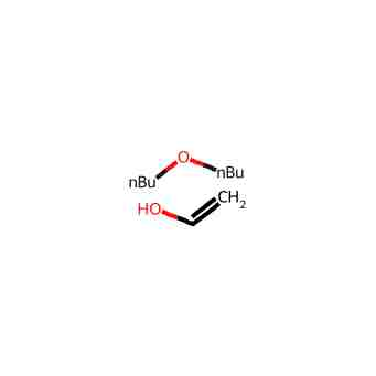 C=CO.CCCCOCCCC